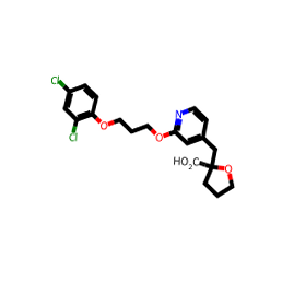 O=C(O)C1(Cc2ccnc(OCCCOc3ccc(Cl)cc3Cl)c2)CCCO1